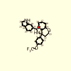 O=C(N[C@]1(c2ccc(OC(F)(F)F)cc2)CCOc2cccnc21)c1ccc2cc[nH]c2c1